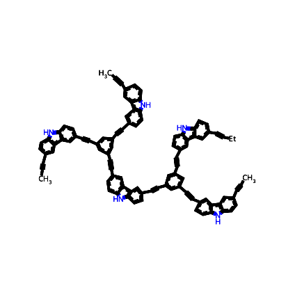 CC#Cc1ccc2[nH]c3ccc(C#Cc4cc(C#Cc5ccc6[nH]c7ccc(C#CC)cc7c6c5)cc(C#Cc5ccc6[nH]c7ccc(C#Cc8cc(C#Cc9ccc%10[nH]c%11ccc(C#CC)cc%11c%10c9)cc(C#Cc9ccc%10[nH]c%11ccc(C#CCC)cc%11c%10c9)c8)cc7c6c5)c4)cc3c2c1